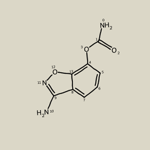 NC(=O)Oc1cccc2c(N)noc12